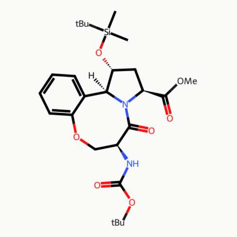 COC(=O)[C@@H]1C[C@@H](O[Si](C)(C)C(C)(C)C)[C@@H]2c3ccccc3OC[C@H](NC(=O)OC(C)(C)C)C(=O)N12